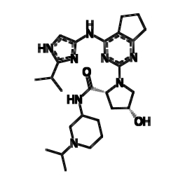 CC(C)c1nc(Nc2nc(N3C[C@H](O)C[C@@H]3C(=O)NC3CCCN(C(C)C)C3)nc3c2CCC3)c[nH]1